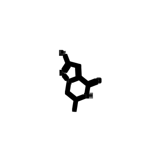 CC1Cn2nc(Br)cc2C(=O)N1